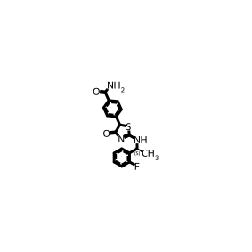 C[C@H](NC1=NC(=O)C(c2ccc(C(N)=O)cc2)S1)c1ccccc1F